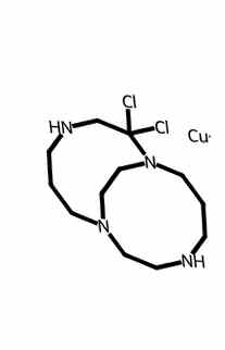 ClC1(Cl)CNCCCN2CCNCCCN1CC2.[Cu]